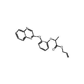 C=CCOC(=O)C(C)Oc1ccccc1Oc1cnc2ccccc2n1